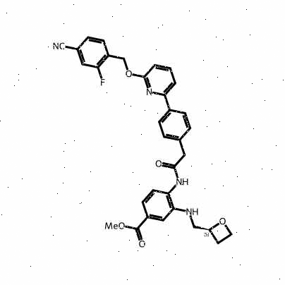 COC(=O)c1ccc(NC(=O)Cc2ccc(-c3cccc(OCc4ccc(C#N)cc4F)n3)cc2)c(NC[C@@H]2CCO2)c1